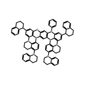 c1ccc(N2c3cc4c(cc3B3c5ccc(N6CCCc7ccccc76)c6c5N(CCC6)c5cc(C6CCCc7ccccc76)cc2c53)B2c3ccc(N5CCCc6ccccc65)c5c3N(CCC5)c3cc(C5CCCc6ccccc65)cc(c32)O4)cc1